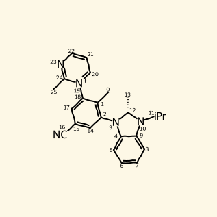 Cc1c(N2c3ccccc3N(C(C)C)[C@H]2C)cc(C#N)cc1-[n+]1cccnc1C